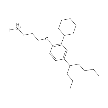 CCCCC(CCC)c1ccc(OCCC[SiH2]I)c(C2CCCCC2)c1